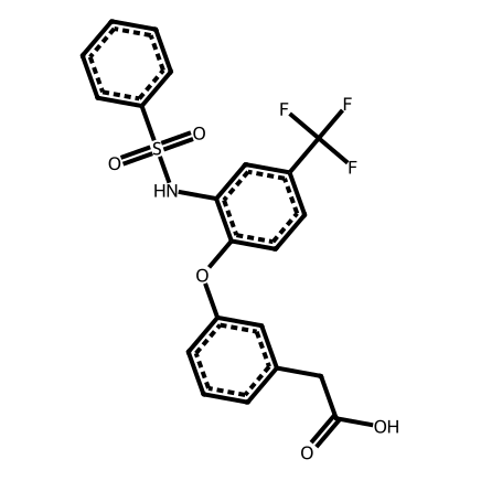 O=C(O)Cc1cccc(Oc2ccc(C(F)(F)F)cc2NS(=O)(=O)c2ccccc2)c1